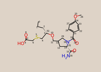 CCC[C@@H](CSCC(=O)O)OCC1C[C@@H](C(N)=O)N(C(=O)c2ccc(OC)cc2)C1